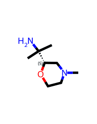 CN1CCO[C@H](C(C)(C)N)C1